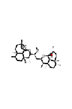 CO[C@@H](C[C@H]1O[C@@H]2C[C@]3(C)CC[C@H]4[C@H](C)CC[C@@H]([C@H]1C)[C@@]24OO3)C1O[C@@H]2C[C@]3(C)CC[C@H]4[C@H](C)CC[C@@H]([C@H]1C)[C@@]24OO3